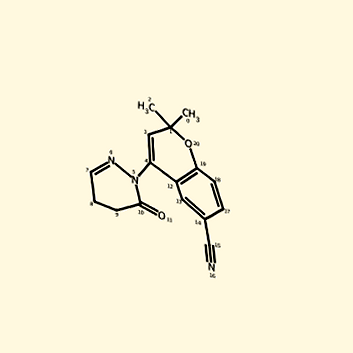 CC1(C)C=C(N2N=CCCC2=O)c2cc(C#N)ccc2O1